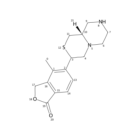 Cc1c(C2CN3CCNC[C@H]3CS2)ccc2c1COC2=O